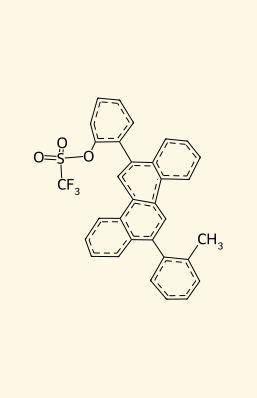 Cc1ccccc1-c1cc2c3ccccc3c(-c3ccccc3OS(=O)(=O)C(F)(F)F)cc2c2ccccc12